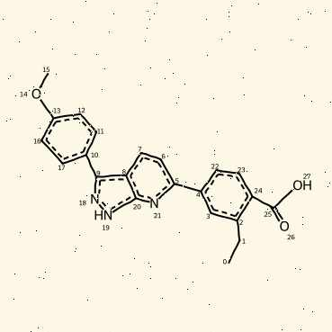 CCc1cc(-c2ccc3c(-c4ccc(OC)cc4)n[nH]c3n2)ccc1C(=O)O